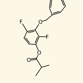 CC(C)C(=O)Oc1ccc(F)c(OCc2ccccc2)c1F